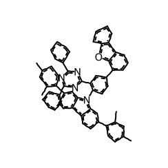 Cc1ccc(-c2ccc3c4ccc(-c5ccc(C)cc5C)cc4n(-c4ccc(-c5cccc6c5oc5ccccc56)cc4-c4nc(-c5ccccc5)nc(-c5ccccc5)n4)c3c2)c(C)c1